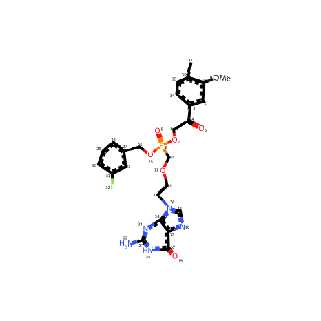 COc1cc(C(=O)COP(=O)(COCCn2cnc3c(=O)[nH]c(N)nc32)OCc2cccc(F)c2)ccc1C